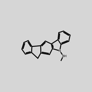 CBn1c2ccccc2c2cc3c(cc21)Cc1ccccc1-3